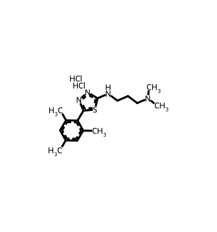 Cc1cc(C)c(-c2nnc(NCCCN(C)C)s2)c(C)c1.Cl.Cl